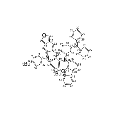 CC(C)(C)c1ccc(N2c3cc4cocc4cc3B3c4ccc(N(c5ccccc5)c5ccccc5)cc4N(c4cccc5c4oc4ccccc45)c4cc(C(C)(C)C)cc2c43)cc1